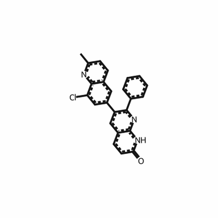 Cc1ccc2cc(-c3cc4ccc(=O)[nH]c4nc3-c3ccccc3)cc(Cl)c2n1